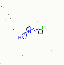 Clc1cccc(CNc2nccc(N3CCNCC3)n2)c1